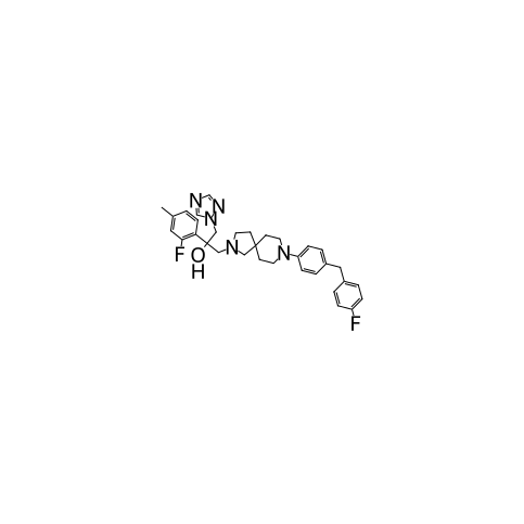 Cc1ccc(C(O)(CN2CCC3(CCN(c4ccc(Cc5ccc(F)cc5)cc4)CC3)C2)Cn2cncn2)c(F)c1